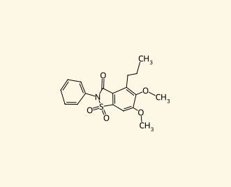 CCCc1c(OC)c(OC)cc2c1C(=O)N(c1ccccc1)S2(=O)=O